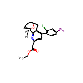 CCOC(=O)c1cc(-c2ccc(P)cc2F)c2c(n1)[C@@H]1CCC(C2)O1